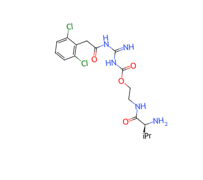 CC(C)[C@H](N)C(=O)NCCOC(=O)NC(=N)NC(=O)Cc1c(Cl)cccc1Cl